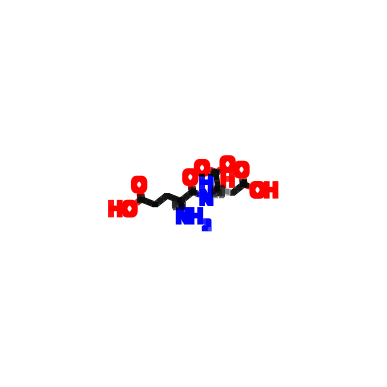 N[C@@H](CCC(=O)O)C(=O)N[C@@H](CC(=O)O)C(=O)O